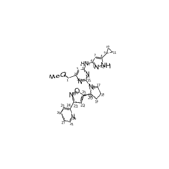 COCc1cc(Nc2cc(C3CC3)[nH]n2)nc(N2CCC[C@H]2c2cc(-c3ccccn3)no2)n1